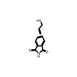 C=CCS.O=C1NC(=O)c2ccccc21